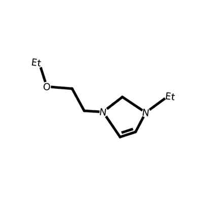 CCOCCN1C=CN(CC)C1